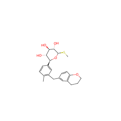 CS[C@H]1O[C@@H](c2ccc(C)c(Cc3ccc4c(c3)CCCO4)c2)[C@H](O)[C@@H](O)[C@@H]1O